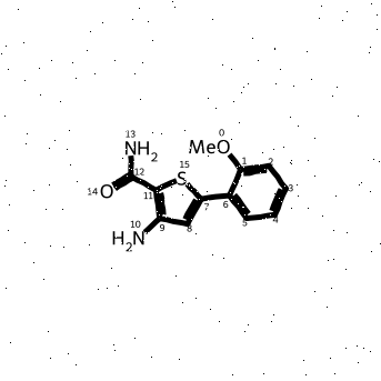 COc1ccccc1-c1cc(N)c(C(N)=O)s1